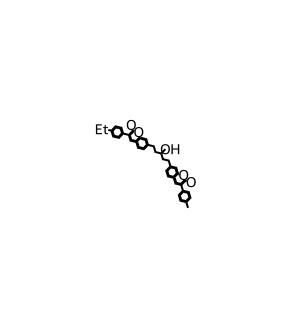 CCc1ccc(-c2cc3ccc(CCC(O)CCc4ccc5cc(-c6ccc(C)cc6)c(=O)oc5c4)cc3oc2=O)cc1